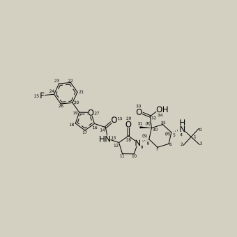 CC(C)(C)N[C@@H]1CC[C@H](N2CCC(NC(=O)c3ccc(-c4cccc(F)c4)o3)C2=O)[C@](C)(C(=O)O)C1